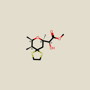 COC(=O)[C@@H](O)[C@@]1(C)CC2(SCCS2)[C@@H](C)[C@@H](C)O1